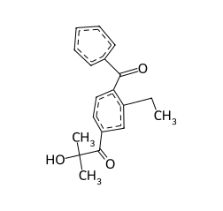 CCc1cc(C(=O)C(C)(C)O)ccc1C(=O)c1ccccc1